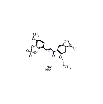 CCCOc1cc2c(cc1C(=O)/C=C/c1ccc(OC)c(OP(=O)([O-])[O-])c1)OC[S+]2[O-].[Na+].[Na+]